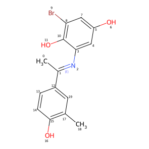 C/C(=N\c1cc(O)cc(Br)c1O)c1ccc(O)c(C)c1